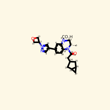 C[C@H]1CN(C(=O)O)c2cc(-c3cnn(C4COC4)c3)ccc2N1C(=O)CC1CC2CC2C1